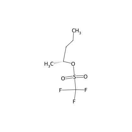 CCC[C@@H](C)OS(=O)(=O)C(F)(F)F